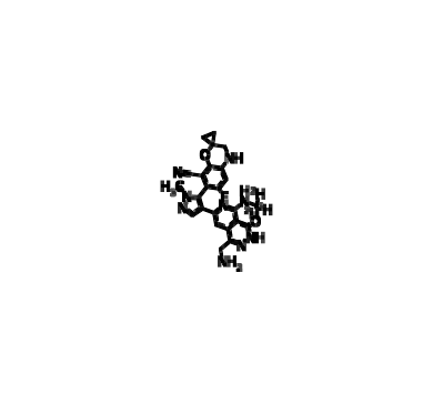 [2H]C([2H])([2H])Nc1nc(-c2cnn(C)c2-c2c(F)cc3c(c2C#N)OC2(CC2)CN3)cc2c(CN)n[nH]c(=O)c12